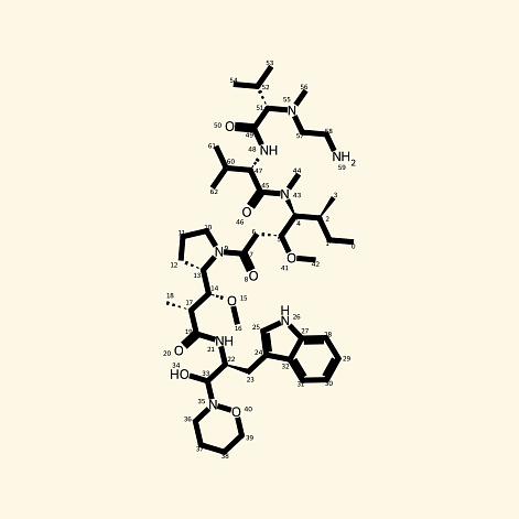 CC[C@H](C)[C@@H]([C@@H](CC(=O)N1CCC[C@H]1[C@H](OC)[C@@H](C)C(=O)N[C@@H](Cc1c[nH]c2ccccc12)C(O)N1CCCCO1)OC)N(C)C(=O)[C@@H](NC(=O)[C@H](C(C)C)N(C)CCN)C(C)C